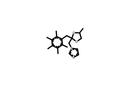 Cc1c(C)c(C)c(CC2(Cn3ccnc3)OCC(C)O2)c(C)c1C